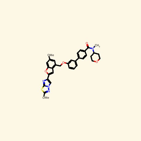 COc1cc(COc2cccc(-c3ccc(C(=O)N(C)C4CCOCC4)cc3)c2)c2cc(-c3cn4nc(OC)sc4n3)oc2c1